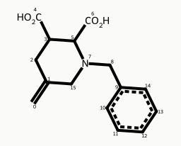 C=C1CC(C(=O)O)C(C(=O)O)N(Cc2ccccc2)C1